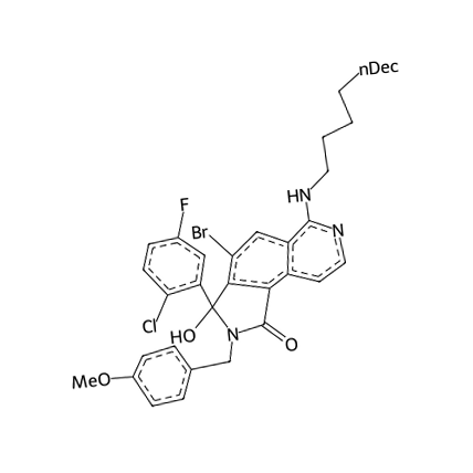 CCCCCCCCCCCCCCNc1nccc2c3c(c(Br)cc12)C(O)(c1cc(F)ccc1Cl)N(Cc1ccc(OC)cc1)C3=O